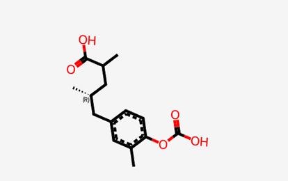 Cc1cc(C[C@H](C)CC(C)C(=O)O)ccc1OC(=O)O